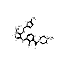 Cc1ccc([C@H](Nc2c(Nc3cccc(C(=O)N4CCN(C)CC4)c3O)no[n+]2O)C(C)(C)C)s1